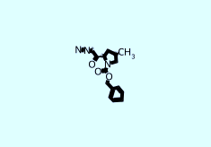 C[C@@H]1C[C@H](C(=O)C=[N+]=[N-])N(C(=O)OCc2ccccc2)C1